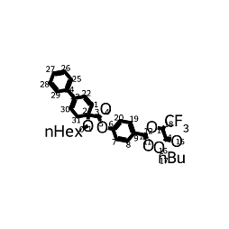 CCCCCCOC1(C(=O)Oc2ccc(C(=O)OC(C(=O)OCCCC)C(F)(F)F)cc2)C=CC(c2ccccc2)=CC1